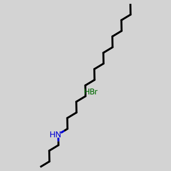 Br.CCCCCCCCCCCCCCCCNCCCC